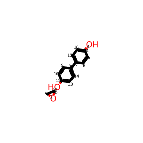 C1CO1.Oc1ccc(-c2ccc(O)cc2)cc1